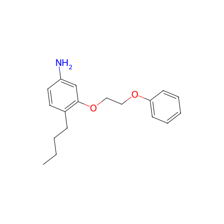 CCCCc1ccc(N)cc1OCCOc1ccccc1